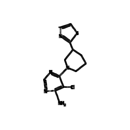 Nc1ncnc(N2CCCC(c3n[c]cs3)C2)c1Cl